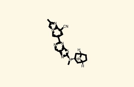 Cc1cn2cc(-c3ncc4nc(N(C)[C@@H]5C[C@H]6CC[C@@H](C5)N6)sc4n3)cc(C#N)c2n1